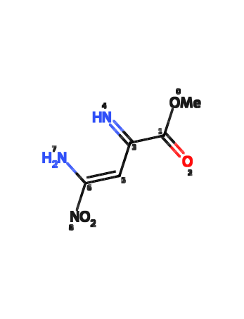 COC(=O)C(=N)/C=C(\N)[N+](=O)[O-]